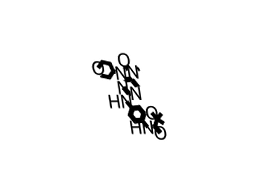 Cn1c(=O)n(C2CCOCC2)c2nc(Nc3ccc4c(c3)OC(C)(C)C(=O)N4)ncc21